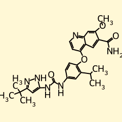 COc1cc2nccc(Oc3ccc(NC(=O)Nc4cc(C(C)(C)C)n[nH]4)cc3C(C)C)c2cc1C(N)=O